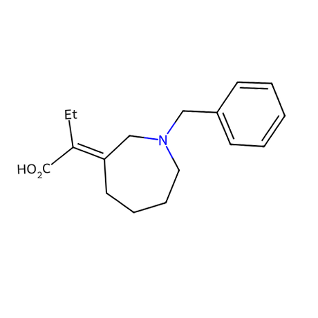 CCC(C(=O)O)=C1CCCCN(Cc2ccccc2)C1